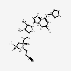 N#CCCOP(=O)(CP(=O)(O)O)OC[C@H]1O[C@@H](c2cnc3c(NC4CCCC4)nc(Cl)nn23)[C@H](O)[C@@H]1O